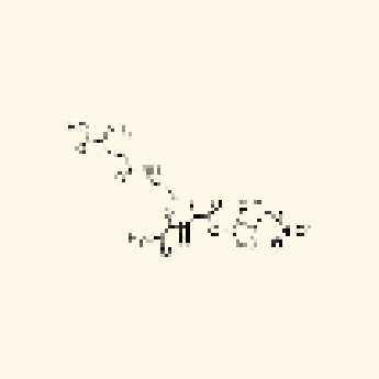 CC(=O)C(=O)N[C@@H](CCCCNC(=O)CC[C@H](N)C(=O)O)C(=O)O[C@H]1COC2C1OC[C@H]2O[N+](=O)[O-]